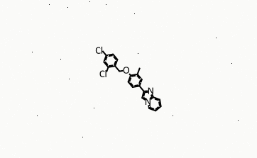 Cc1cc(-c2cn3ccccc3n2)ccc1OCc1ccc(Cl)cc1Cl